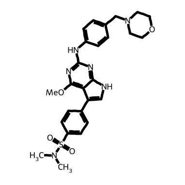 COc1nc(Nc2ccc(CN3CCOCC3)cc2)nc2[nH]cc(-c3ccc(S(=O)(=O)N(C)C)cc3)c12